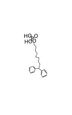 O=P(O)(O)OCCCCCCCCC(c1ccccc1)c1ccccc1